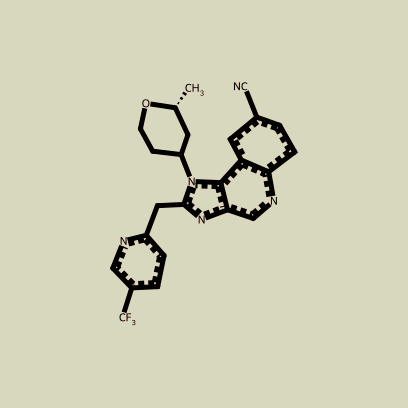 C[C@@H]1CC(n2c(Cc3ccc(C(F)(F)F)cn3)nc3cnc4ccc(C#N)cc4c32)CCO1